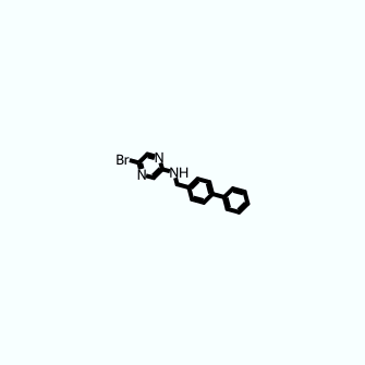 Brc1cnc(NCc2ccc(-c3ccccc3)cc2)cn1